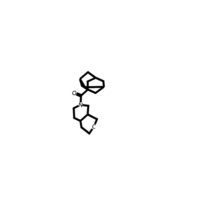 O=C(N1CCC2CCCCC2C1)C12CC3CC(CC(C3)C1)C2